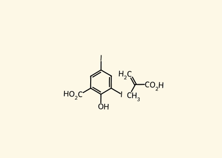 C=C(C)C(=O)O.O=C(O)c1cc(I)cc(I)c1O